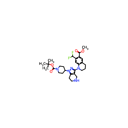 COC(=O)c1cc2c(cc1C(F)F)N(c1nn(C3CCN(C(=O)OC(C)(C)C)CC3)c3c1CNCC3)CCC2